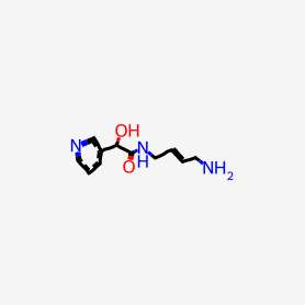 NCC=CCNC(=O)C(O)c1cccnc1